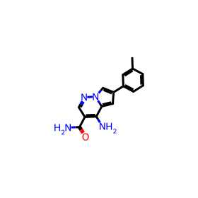 Cc1cccc(-c2cc3c(N)c(C(N)=O)cnn3c2)c1